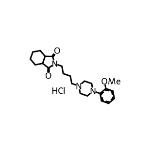 COc1ccccc1N1CCN(CCCCN2C(=O)C3CCCCC3C2=O)CC1.Cl